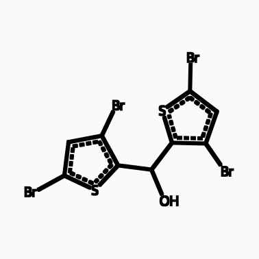 OC(c1sc(Br)cc1Br)c1sc(Br)cc1Br